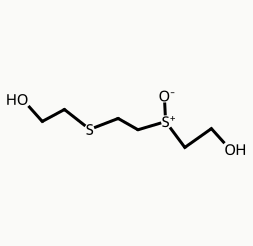 [O-][S+](CCO)CCSCCO